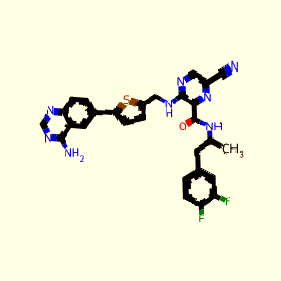 CC(Cc1ccc(F)c(F)c1)NC(=O)c1nc(C#N)cnc1NCc1ccc(-c2ccc3ncnc(N)c3c2)s1